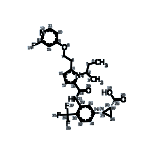 CCC(C)n1c(CCOc2ccnc(F)c2)ccc1C(=O)Nc1cc([C@H]2C[C@H]2C(=O)O)ccc1C(F)(F)F